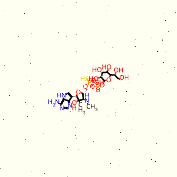 CN[C@@H]1[C@@H](COP(=O)(S)OP(=O)(O)OC2OC([C@@H](O)CO)C(O)C(O)C2O)O[C@@H](c2c[nH]c3c(N)ncnc23)[C@]1(C)O